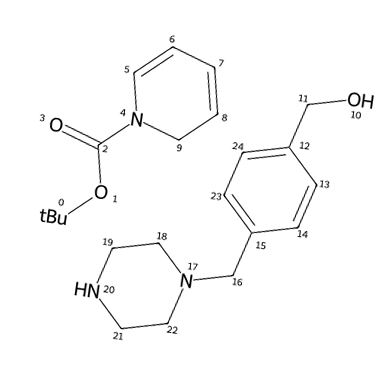 CC(C)(C)OC(=O)N1C=CC=CC1.OCc1ccc(CN2CCNCC2)cc1